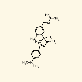 C=C(C=Cc1ccc(N(C)C)cc1)C(C)(C)c1cc(CNC(=N)N)ccc1C